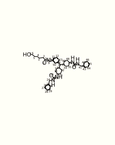 O=C(CCCCCO)NCc1cccc(C(C2CCC(NC(=O)NCc3ccccc3)CC2)C2CCC(NC(=O)NCc3ccccc3)CC2)c1